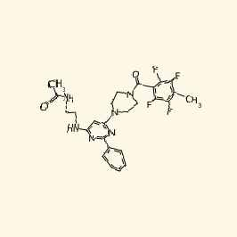 CC(=O)NCCNc1cc(N2CCN(C(=O)c3c(F)c(F)c(C)c(F)c3F)CC2)nc(-c2ccccc2)n1